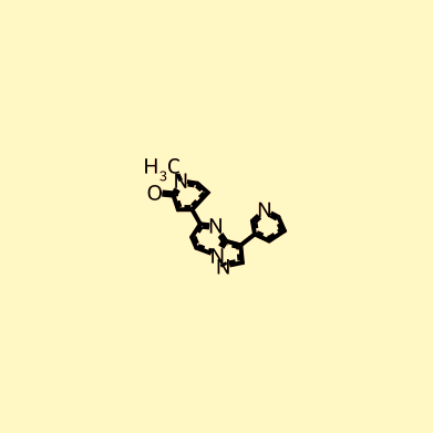 Cn1ccc(-c2ccn3ncc(-c4cccnc4)c3n2)cc1=O